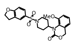 COc1cccc2c1N(C1CCN(S(=O)(=O)c3ccc4c(c3)CCO4)CC1)C(=O)OC2